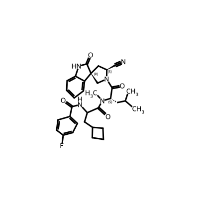 CC(C)C[C@@H](C(=O)N1C[C@]2(C[C@H]1C#N)C(=O)Nc1ccccc12)N(C)C(=O)C(CC1CCC1)NC(=O)c1ccc(F)cc1